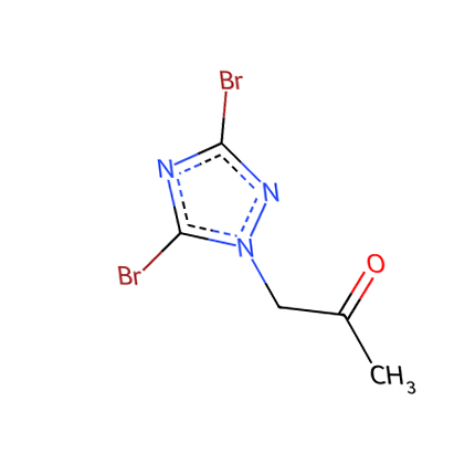 CC(=O)Cn1nc(Br)nc1Br